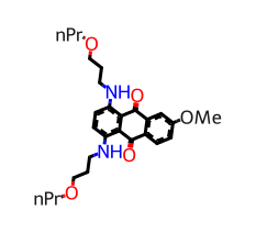 CCCOCCCNc1ccc(NCCCOCCC)c2c1C(=O)c1ccc(OC)cc1C2=O